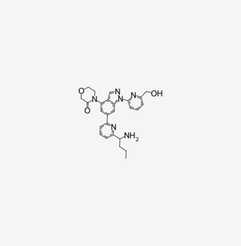 CCCC(N)c1cccc(-c2cc(N3CCOCC3=O)c3cnn(-c4cccc(CO)n4)c3c2)n1